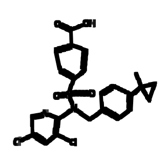 CC1(c2ccc(CN(c3ncc(Cl)cc3Cl)S(=O)(=O)c3ccc(C(=O)O)cc3)cc2)CC1